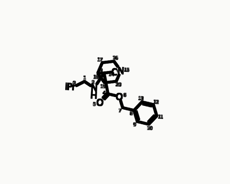 CC(C)CNC1(C(=O)OCc2ccccc2)CN2CCC1CC2